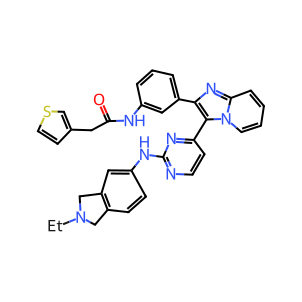 CCN1Cc2ccc(Nc3nccc(-c4c(-c5cccc(NC(=O)Cc6ccsc6)c5)nc5ccccn45)n3)cc2C1